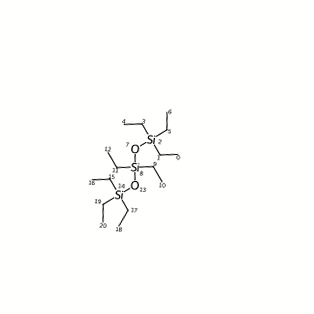 CC[Si](CC)(CC)O[Si](CC)(CC)O[Si](CC)(CC)CC